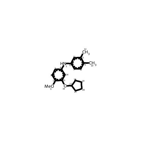 COc1ccc(Nc2ccc(C)c(C)c2)cc1OC1CCCC1